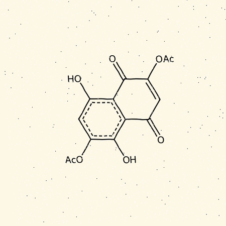 CC(=O)OC1=CC(=O)c2c(O)c(OC(C)=O)cc(O)c2C1=O